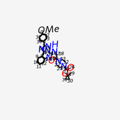 COc1ccc(-c2nc3c4ccccc4nc(N[C@H](C)C(=O)N4CCN(C(=O)OC5(C)CC5)CC4)n3n2)cc1